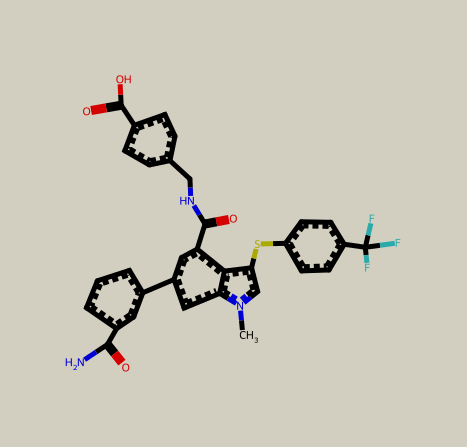 Cn1cc(Sc2ccc(C(F)(F)F)cc2)c2c(C(=O)NCc3ccc(C(=O)O)cc3)cc(-c3cccc(C(N)=O)c3)cc21